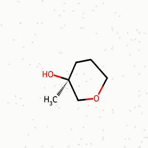 C[C@]1(O)CCCOC1